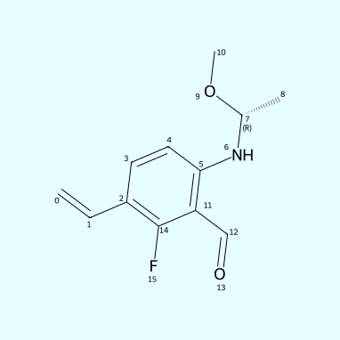 C=Cc1ccc(N[C@@H](C)OC)c(C=O)c1F